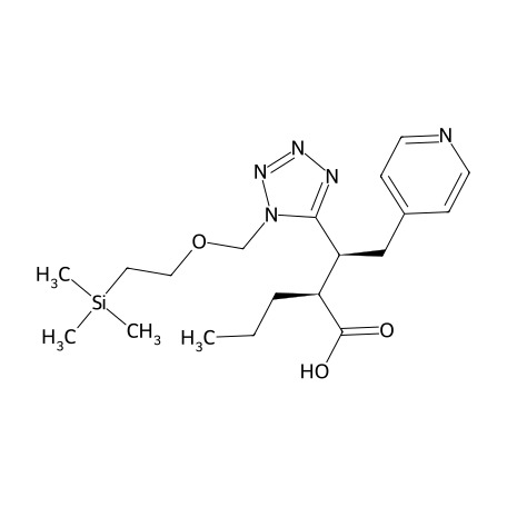 CCC[C@H](C(=O)O)[C@H](Cc1ccncc1)c1nnnn1COCC[Si](C)(C)C